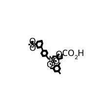 Cc1cc(C)c(S(=O)(=O)N(Cc2ccc(-c3cccc(S(C)(=O)=O)c3)cc2)Cc2ccc(C(=O)O)o2)c(C)c1